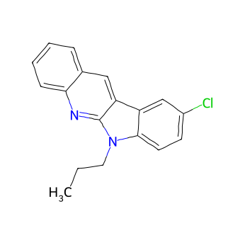 CCCn1c2ccc(Cl)cc2c2cc3ccccc3nc21